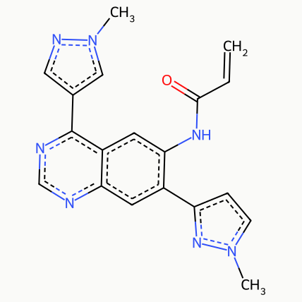 C=CC(=O)Nc1cc2c(-c3cnn(C)c3)ncnc2cc1-c1ccn(C)n1